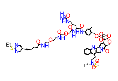 CCSc1ncc(C#CCCCC(=O)NCCOCCNC(=O)COCC(=O)N[C@@H](CCCNC(N)=O)C(=O)Nc2ccc(COC(=O)O[C@]3(CC)C(=O)OCc4c3cc3n(c4=O)Cc4c-3nc3ccccc3c4CCN(C(C)C)S(C)(=O)=O)c(C)c2)cn1